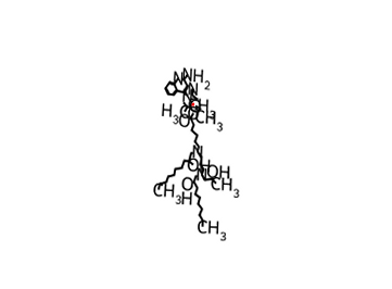 CCCCCCCCC(O)CN(CCCCCC(=O)OC(C)(C)Cn1c(COCC)nc2c(N)nc3ccccc3c21)CCCN(CC(C)O)CC(O)CCCCCCCC